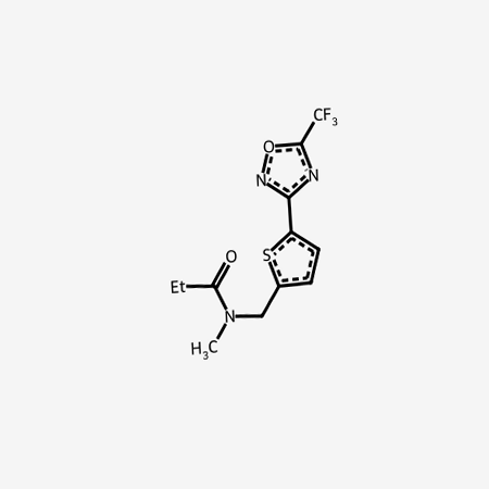 CCC(=O)N(C)Cc1ccc(-c2noc(C(F)(F)F)n2)s1